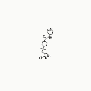 Cn1cc(SC(C)(C)C2CCN(C(=O)Nc3ccnnc3)CC2)c(Cl)n1